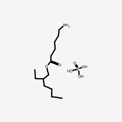 CCCCC(CC)COC(=O)CCCCCN.O=P(O)(O)O